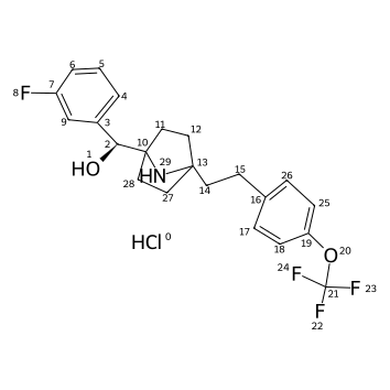 Cl.O[C@@H](c1cccc(F)c1)C12CCC(CCc3ccc(OC(F)(F)F)cc3)(CC1)N2